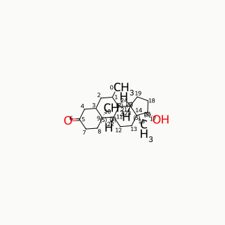 CC1CC2CC(=O)CC[C@]2(C)[C@H]2CC[C@]3(C)[C@@H](O)CC[C@H]3[C@H]12